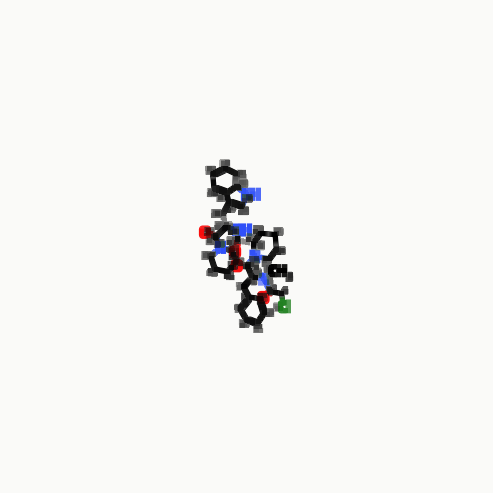 CN(C(=O)CCl)[C@@H](Cc1ccccc1)C(=O)N1CCCC[C@H]1C(=O)N[C@@H](Cc1c[nH]c2ccccc12)C(=O)N1CCCCC1